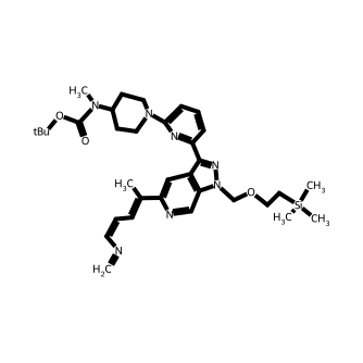 C=N/C=C\C=C(/C)c1cc2c(-c3cccc(N4CCC(N(C)C(=O)OC(C)(C)C)CC4)n3)nn(COCC[Si](C)(C)C)c2cn1